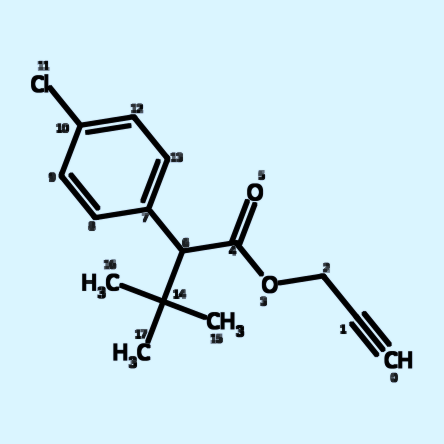 C#CCOC(=O)C(c1ccc(Cl)cc1)C(C)(C)C